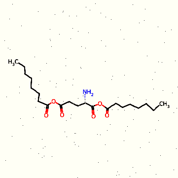 CCCCCCCC(=O)OC(=O)CC[C@H](N)C(=O)OC(=O)CCCCCCC